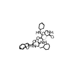 O=C(NC1CCCCC1)C(=O)[C@H](C[C@@H]1CCNC1=O)NC(=O)[C@H](CC1CCCCC1)NC(=O)c1cc2ccccc2o1